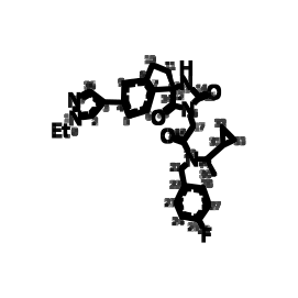 CCn1cc(-c2ccc3c(c2)CC[C@]32NC(=O)N(CC(=O)N(Cc3ccc(F)cc3)[C@H](C)C3CC3)C2=O)cn1